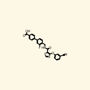 N#Cc1cccc(Oc2ncsc2C(=O)NCc2ccc(-c3ccc(C(=O)O)cc3)cc2F)c1